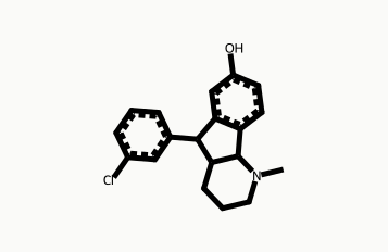 CN1CCCC2C(c3cccc(Cl)c3)c3cc(O)ccc3C21